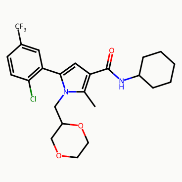 Cc1c(C(=O)NC2CCCCC2)cc(-c2cc(C(F)(F)F)ccc2Cl)n1CC1COCCO1